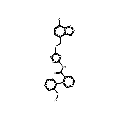 COc1ccccc1-c1cnccc1C(=O)Nc1nnc(OCc2ccc(Cl)c3[nH]ncc23)s1